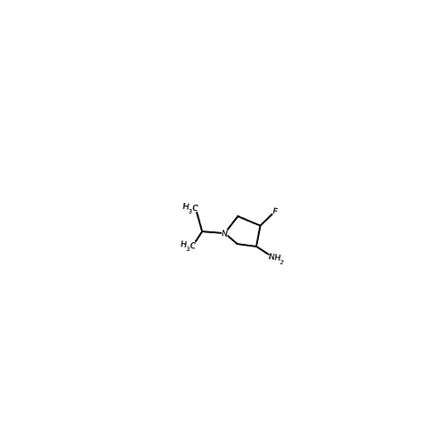 CC(C)N1CC(N)C(F)C1